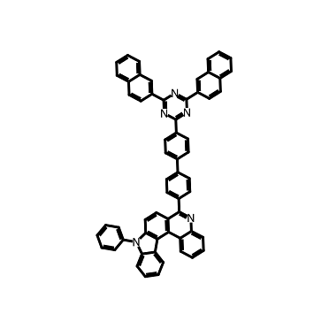 c1ccc(-n2c3ccccc3c3c4c(ccc32)c(-c2ccc(-c3ccc(-c5nc(-c6ccc7ccccc7c6)nc(-c6ccc7ccccc7c6)n5)cc3)cc2)nc2ccccc24)cc1